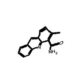 Cc1ccc2cc3ccccc3nc2c1C(N)=O